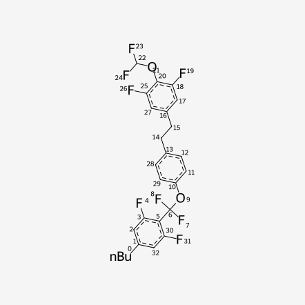 CCCCc1cc(F)c(C(F)(F)Oc2ccc(CCc3cc(F)c(OC(F)F)c(F)c3)cc2)c(F)c1